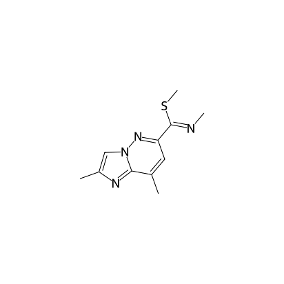 CN=C(SC)c1cc(C)c2nc(C)cn2n1